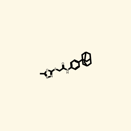 Cc1nnc(SCC(=O)Nc2ccc(C34CC5CC(CC(C5)C3)C4)cc2)o1